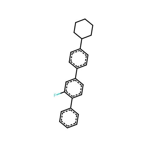 Fc1cc(-c2ccc(C3CCCCC3)cc2)ccc1-c1ccccc1